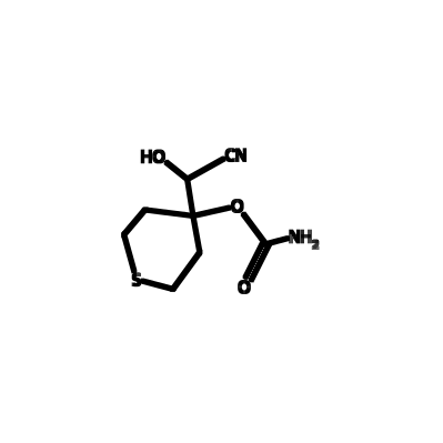 N#CC(O)C1(OC(N)=O)CCSCC1